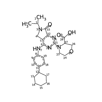 CC(C)N1Cc2c(Nc3ccc(C4CCCCC4)cc3)nc(N3CCOCC3C(=O)O)nc2C1=O